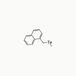 C[Te]Cc1cccc2ccccc12